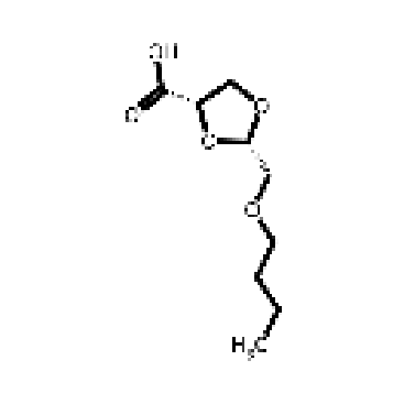 CCCCOC[C@H]1OC[C@@H](C(=O)O)O1